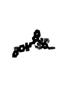 COc1cc(C)c(S(=O)(=O)N2c3ccccc3CC2CCCS(=O)(=O)N2CCC(O)(c3cccnc3)CC2)c(C)c1